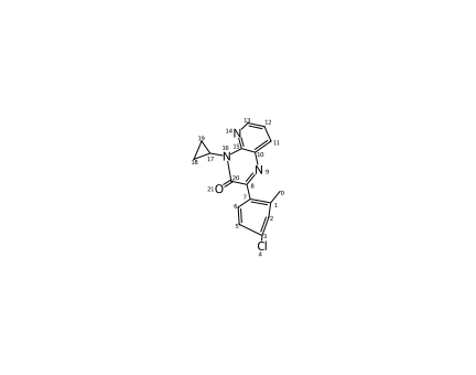 Cc1cc(Cl)ccc1-c1nc2cccnc2n(C2CC2)c1=O